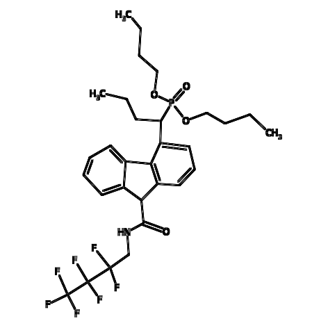 CCCCOP(=O)(OCCCC)C(CCC)c1cccc2c1-c1ccccc1C2C(=O)NCC(F)(F)C(F)(F)C(F)(F)F